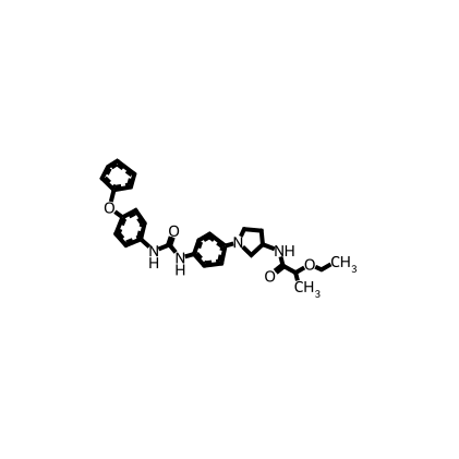 CCOC(C)C(=O)NC1CCN(c2ccc(NC(=O)Nc3ccc(Oc4ccccc4)cc3)cc2)C1